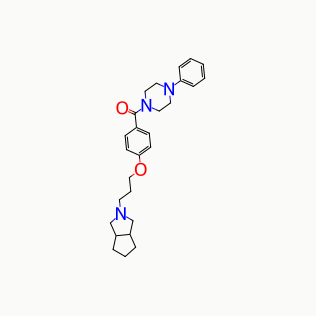 O=C(c1ccc(OCCCN2CC3CCCC3C2)cc1)N1CCN(c2ccccc2)CC1